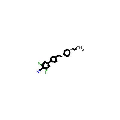 C=CC[C@H]1CC[C@H](CCc2ccc(-c3cc(F)c(C#N)c(F)c3)cc2)CC1